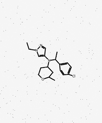 CCn1cc(N(C2CCOC(C)C2)C(C)c2ccc(Cl)cc2)cn1